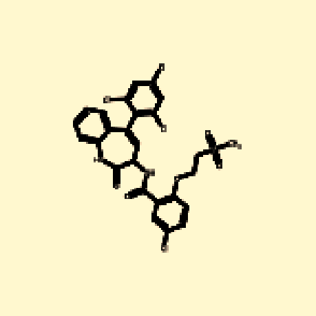 CS(=O)(=O)CCOc1ccc(Cl)cc1C(=O)NC1C=C(c2c(Cl)cc(Cl)cc2Cl)c2ccccc2NC1=O